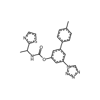 Cc1ccc(-c2cc(OC(=O)NC(C)c3nccs3)cc(-n3cnnn3)c2)cc1